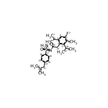 Cc1c(F)cc(C(C)C)c(CC(=O)N=S(N)(=O)c2ccc(CN(C)C)cc2)c1C(C)C